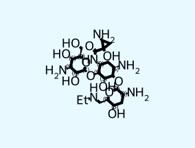 CCNC[C@H]1O[C@H](OC2[C@@H](N)C[C@@H](NC(=O)C3(O)CC3N)[C@H](O[C@H]3O[C@H](CO)[C@@H](O)[C@H](N)[C@H]3O)[C@H]2O)[C@H](N)C[C@@H]1O